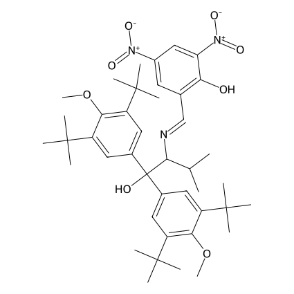 COc1c(C(C)(C)C)cc(C(O)(c2cc(C(C)(C)C)c(OC)c(C(C)(C)C)c2)C(N=Cc2cc([N+](=O)[O-])cc([N+](=O)[O-])c2O)C(C)C)cc1C(C)(C)C